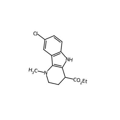 CCOC(=O)C1CCN(C)c2c1[nH]c1ccc(Cl)cc21